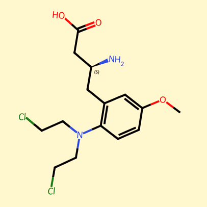 COc1ccc(N(CCCl)CCCl)c(C[C@H](N)CC(=O)O)c1